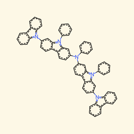 c1ccc(N(c2ccc3c4ccc(-n5c6ccccc6c6ccccc65)cc4n(-c4ccccc4)c3c2)c2ccc3c4ccc(-n5c6ccccc6c6ccccc65)cc4n(-c4ccccc4)c3c2)cc1